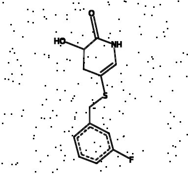 O=C1NC=C(SCc2cccc(F)c2)CC1O